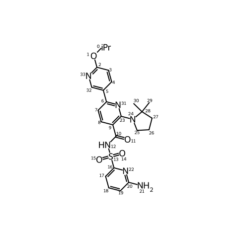 CC(C)Oc1ccc(-c2ccc(C(=O)NS(=O)(=O)c3cccc(N)n3)c(N3CCCC3(C)C)n2)cn1